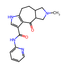 CN1CC2CCc3[nH]cc(C(=O)Nc4ccccn4)c3C(=O)C2C1